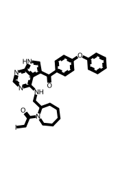 O=C(c1ccc(Oc2ccccc2)cc1)c1c[nH]c2ncnc(NCC3CCCCCN3C(=O)CI)c12